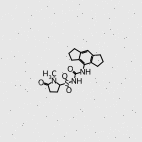 CN1C(=O)CCC1S(=O)(=O)NC(=O)Nc1c2c(cc3c1CCC3)CCC2